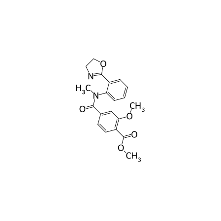 COC(=O)c1ccc(C(=O)N(C)c2ccccc2C2=NCCO2)cc1OC